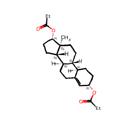 CCC(=O)O[C@@H]1C=C2CC[C@@H]3[C@H](CC[C@]4(C)[C@@H](OC(=O)CC)CC[C@@H]34)[C@H]2CC1